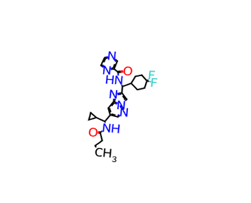 CCCC(=O)N[C@@H](c1cnn2cc([C@@H](NC(=O)c3cnccn3)C3CCC(F)(F)CC3)nc2c1)C1CC1